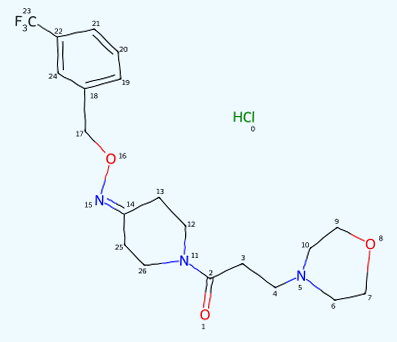 Cl.O=C(CCN1CCOCC1)N1CCC(=NOCc2cccc(C(F)(F)F)c2)CC1